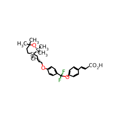 CC1(C)CC[Si](C)(CCCOc2ccc(C(F)(F)Oc3ccc(C=CC(=O)O)cc3)cc2)[Si](C)(C)O1